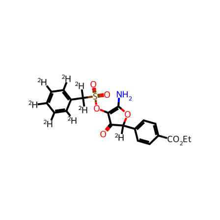 [2H]c1c([2H])c([2H])c(C([2H])([2H])S(=O)(=O)OC2=C(N)OC([2H])(c3ccc(C(=O)OCC)cc3)C2=O)c([2H])c1[2H]